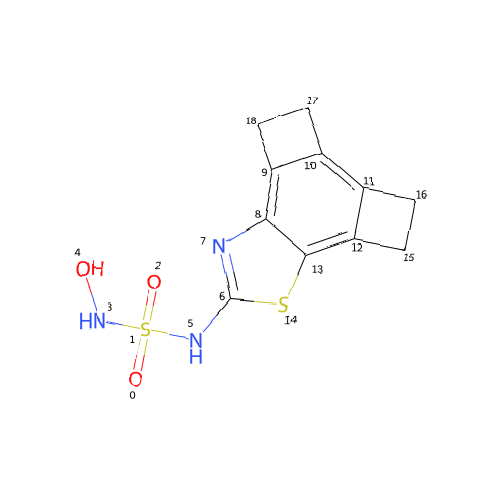 O=S(=O)(NO)Nc1nc2c3c(c4c(c2s1)CC4)CC3